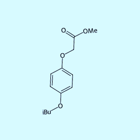 CCC(C)Oc1ccc(OCC(=O)OC)cc1